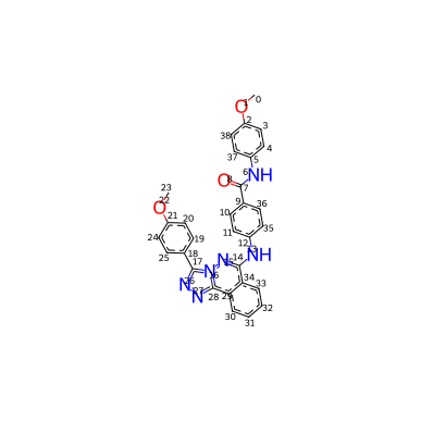 COc1ccc(NC(=O)c2ccc(Nc3nn4c(-c5ccc(OC)cc5)nnc4c4ccccc34)cc2)cc1